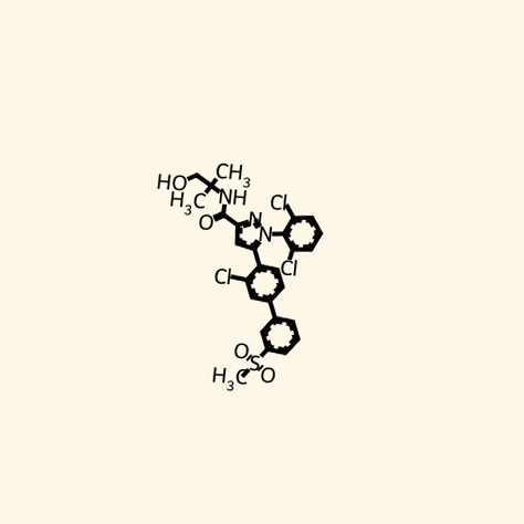 CC(C)(CO)NC(=O)c1cc(-c2ccc(-c3cccc(S(C)(=O)=O)c3)cc2Cl)n(-c2c(Cl)cccc2Cl)n1